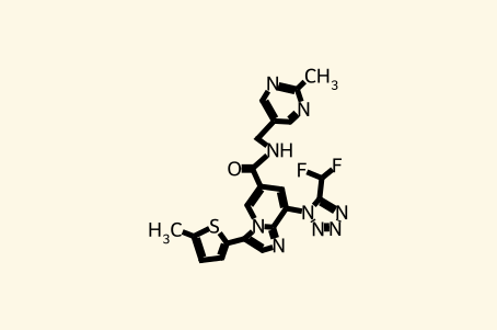 Cc1ncc(CNC(=O)c2cc(-n3nnnc3C(F)F)c3ncc(-c4ccc(C)s4)n3c2)cn1